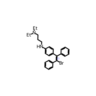 CCN(CC)CCCNc1ccc(/C(=C(/Br)c2ccccc2)c2ccccc2)cc1